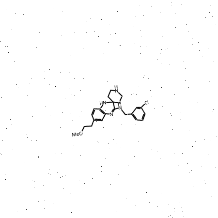 COCCc1ccc2c(c1)N=C(NCc1cccc(Cl)c1)C1(CCNCC1)N2